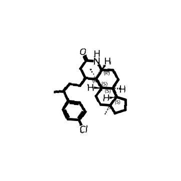 CC(CCC1CC(=O)N[C@@H]2CC[C@H]3[C@@H]4CCC[C@@]4(C)CC[C@@H]3[C@@]12C)c1ccc(Cl)cc1